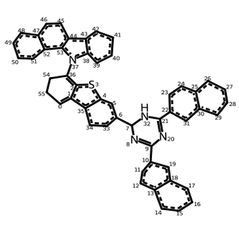 C1=c2c(sc3cc(C4N=C(c5ccc6ccccc6c5)N=C(c5ccc6ccccc6c5)N4)ccc23)=C(n2c3ccccc3c3ccc4ccccc4c32)CC1